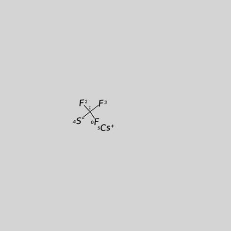 FC(F)(F)[S-].[Cs+]